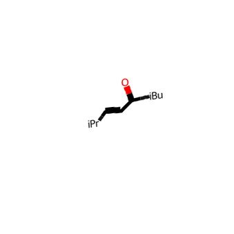 CCC(C)C(=O)/C=C/C(C)C